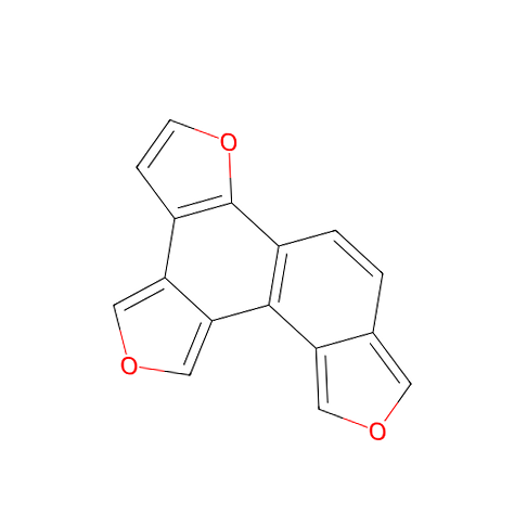 c1cc2c3cocc3c3c4cocc4ccc3c2o1